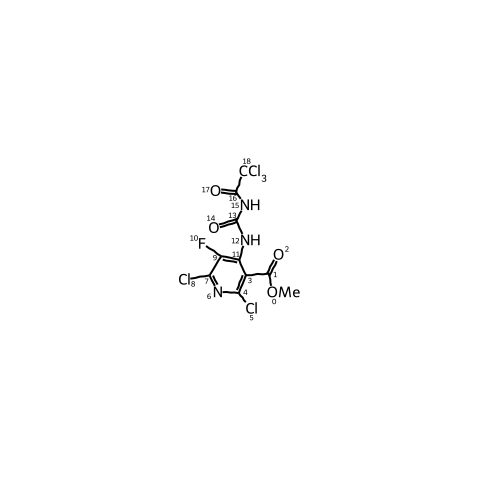 COC(=O)c1c(Cl)nc(Cl)c(F)c1NC(=O)NC(=O)C(Cl)(Cl)Cl